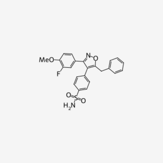 COc1ccc(-c2noc(Cc3ccccc3)c2-c2ccc(S(N)(=O)=O)cc2)cc1F